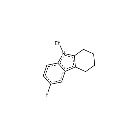 CCn1c2c(c3cc(F)ccc31)CCCC2